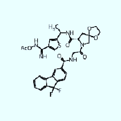 CC(=O)ONC(=N)c1csc([C@@H](C)NC(=O)[C@@H]2CC3(CN2C(=O)CNC(=O)c2ccc4c(c2)-c2ccccc2C4(F)F)OCCO3)c1